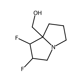 OCC12CCCN1CC(F)C2F